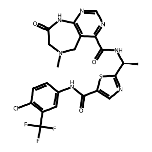 C[C@H](NC(=O)c1ncnc2c1CN(C)CC(=O)N2)c1ncc(C(=O)Nc2ccc(Cl)c(C(F)(F)F)c2)s1